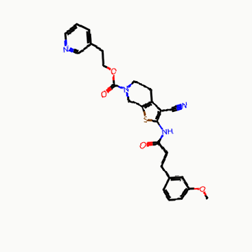 COc1cccc(CCC(=O)Nc2sc3c(c2C#N)CCN(C(=O)OCCc2cccnc2)C3)c1